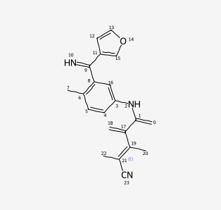 C=C(Nc1ccc(C)c(C(=N)c2ccoc2)c1)C(=C)/C(C)=C(\C)C#N